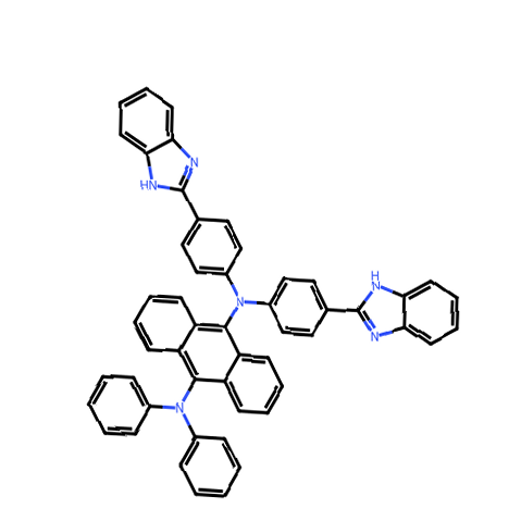 c1ccc(N(c2ccccc2)c2c3ccccc3c(N(c3ccc(-c4nc5ccccc5[nH]4)cc3)c3ccc(-c4nc5ccccc5[nH]4)cc3)c3ccccc23)cc1